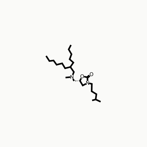 CCCCCCC(CCCCC)CN(C)C[C@H]1CN(CCCC(C)C)C(=O)O1